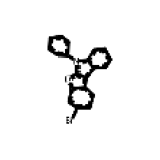 Brc1ccc2c(c1)oc1c2c2ccccc2n1-c1ccccc1